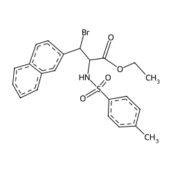 CCOC(=O)C(NS(=O)(=O)c1ccc(C)cc1)C(Br)c1ccc2ccccc2c1